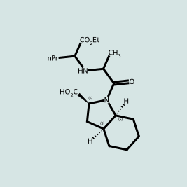 CCCC(NC(C)C(=O)N1[C@H](C(=O)O)C[C@@H]2CCCC[C@@H]21)C(=O)OCC